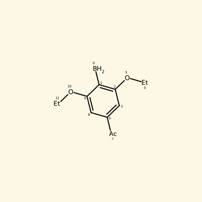 Bc1c(OCC)cc(C(C)=O)cc1OCC